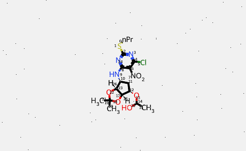 CCCSc1nc(Cl)c([N+](=O)[O-])c(N[C@@H]2C[C@H](OC(C)O)[C@H]3OC(C)(C)O[C@H]32)n1